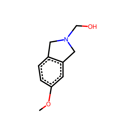 COc1ccc2c(c1)CN(CO)C2